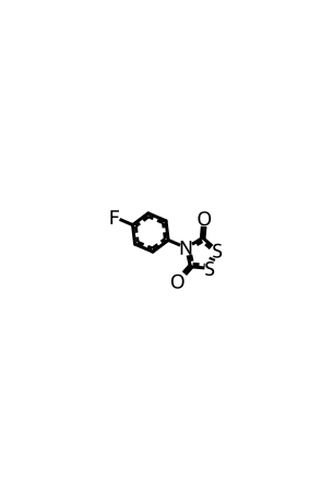 O=c1ssc(=O)n1-c1ccc(F)cc1